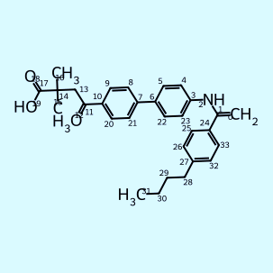 C=C(Nc1ccc(-c2ccc(C(=O)CC(C)(C)C(=O)O)cc2)cc1)c1ccc(CCCC)cc1